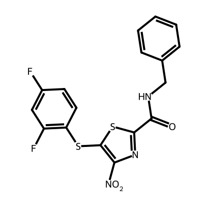 O=C(NCc1ccccc1)c1nc([N+](=O)[O-])c(Sc2ccc(F)cc2F)s1